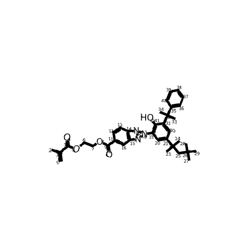 C=C(C)C(=O)OCCOC(=O)c1ccc2c(c1)n1n(-c3cc(C(C)(C)CC(C)(C)C)cc(C(C)(C)c4ccccc4)c3O)n21